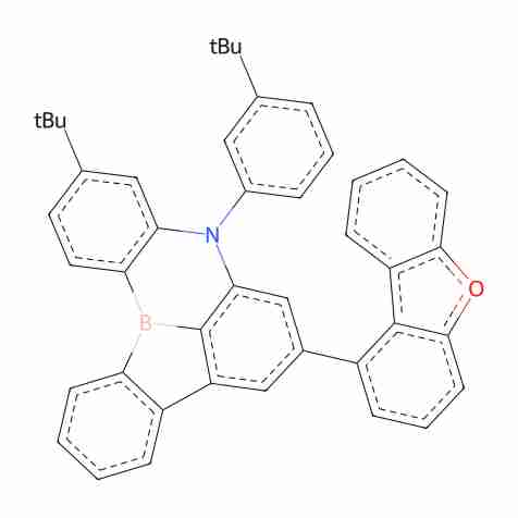 CC(C)(C)c1cccc(N2c3cc(C(C)(C)C)ccc3B3c4ccccc4-c4cc(-c5cccc6oc7ccccc7c56)cc2c43)c1